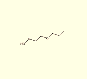 CCCOCCOO